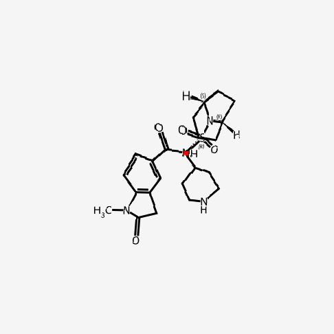 CN1C(=O)Cc2cc(C(=O)N[C@H]3C[C@H]4CC[C@@H](C3)N4S(=O)(=O)CC3CCNCC3)ccc21